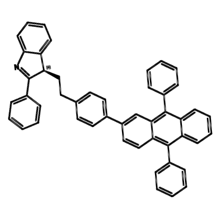 c1ccc(C2=Nc3ccccc3[C@H]2CCc2ccc(-c3ccc4c(-c5ccccc5)c5ccccc5c(-c5ccccc5)c4c3)cc2)cc1